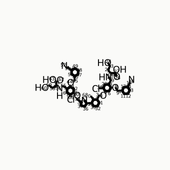 Cc1c(COc2cc(OCc3cccc(C#N)c3)c(CNC(CCO)C(=O)O)cc2Cl)cccc1-c1ccc(COc2cc(OCc3cccc(C#N)c3)c(CNC(CCO)C(=O)O)cc2Cl)n1C